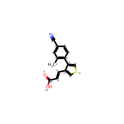 Cc1cc(C#N)ccc1-c1cscc1C=CC(=O)O